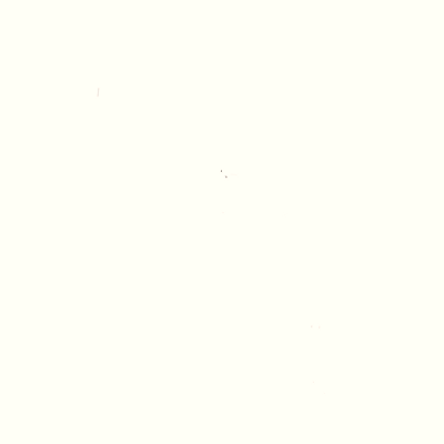 CCOC(=O)CS(=O)(=O)c1cc(C(=O)Nc2cc(F)c(F)c(F)c2)ccc1Cl